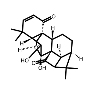 CC1(C)C=CC(=O)[C@]23CO[C@](O)([C@@H](O)[C@H]12)[C@@]12C(=O)C4[C@@H]1[C@@H](CC[C@@H]32)C4(C)C